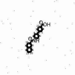 O=C(O)c1ccc(-c2ccc(NC(=O)c3ccc4ccccc4c3)cc2)cc1